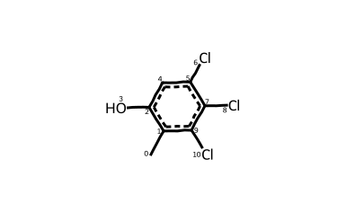 Cc1c(O)cc(Cl)c(Cl)c1Cl